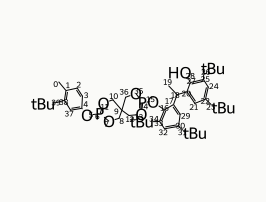 Cc1ccc(OP2OCC3(CO2)COP(Oc2c(C(C)c4cc(C(C)(C)C)cc(C(C)(C)C)c4O)cc(C(C)(C)C)cc2C(C)(C)C)OC3)cc1C(C)(C)C